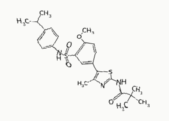 COc1ccc(-c2sc(NC(=O)C(C)(C)C)nc2C)cc1S(=O)(=O)Nc1ccc(C(C)C)cc1